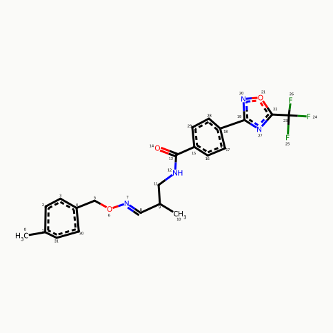 Cc1ccc(CON=CC(C)CNC(=O)c2ccc(-c3noc(C(F)(F)F)n3)cc2)cc1